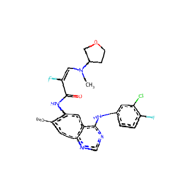 COc1cc2ncnc(Nc3ccc(F)c(Cl)c3)c2cc1NC(=O)/C(F)=C\N(C)C1CCOC1